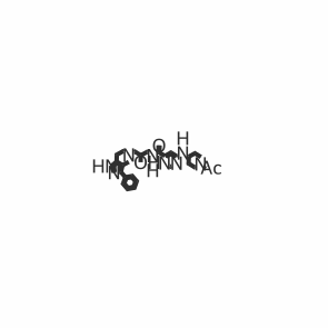 CC(=O)N1CCC(Nc2cc(C(=O)NCC(O)CN3CCc4[nH]nc(-c5ccccc5)c4C3)ncn2)CC1